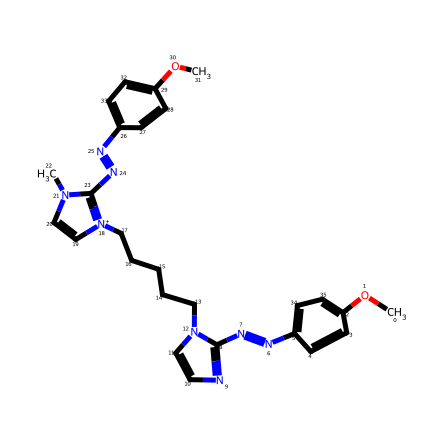 COc1ccc(/N=N/c2nccn2CCCCC[n+]2ccn(C)c2/N=N/c2ccc(OC)cc2)cc1